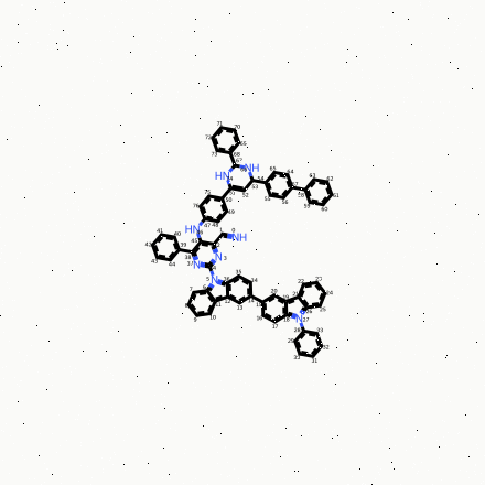 N=Cc1nc(-n2c3ccccc3c3cc(-c4ccc5c(c4)c4ccccc4n5-c4ccccc4)ccc32)nc(-c2ccccc2)c1Nc1ccc(C2=CC(c3ccc(-c4ccccc4)cc3)NC(c3ccccc3)N2)cc1